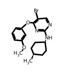 COc1cccc(Oc2nc(N[C@H]3CC[C@H](C)CC3)ncc2Br)c1